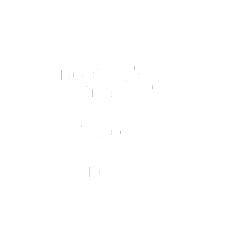 CCC(F)(F)C(=O)OCCC(C)C(C)(C)CC(=O)O